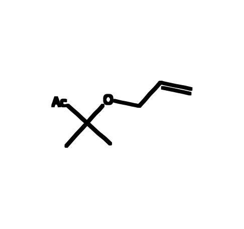 C=CCOC(C)(C)C(C)=O